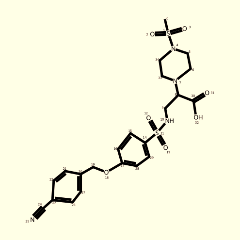 CS(=O)(=O)N1CCN(C(CNS(=O)(=O)c2ccc(OCc3ccc(C#N)cc3)cc2)C(=O)O)CC1